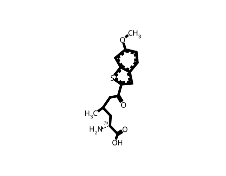 COc1ccc2cc(C(=O)CC(C)C[C@@H](N)C(=O)O)sc2c1